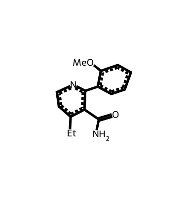 CCc1ccnc(-c2ccccc2OC)c1C(N)=O